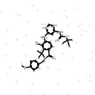 COc1ccc(CN2C(=O)c3ccc(Nc4cc(NC(=O)OC(C)(C)C)ncn4)c(Cl)c3C2(C)C)cc1